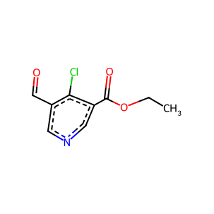 CCOC(=O)c1cncc(C=O)c1Cl